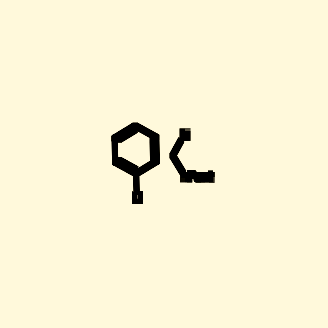 [Li][CH2]CCCCC.[Li][c]1ccccc1